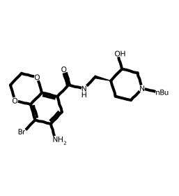 CCCCN1CC[C@@H](CNC(=O)c2cc(N)c(Br)c3c2OCCO3)C(O)C1